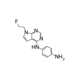 Nc1ccc(Nc2ncnc3c2ccn3CCF)cc1